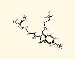 C[Si](C)(C)CCOCn1c(SCCCNC(=O)O)nc2cc(O)ccc21